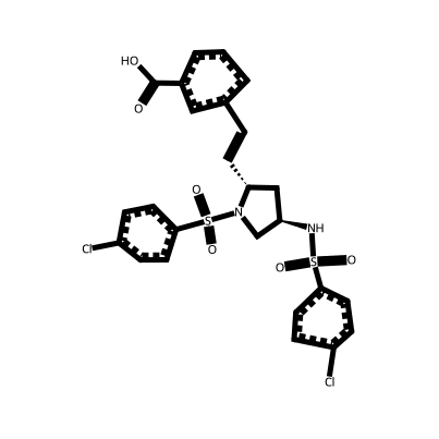 O=C(O)c1cccc(/C=C/[C@@H]2C[C@@H](NS(=O)(=O)c3ccc(Cl)cc3)CN2S(=O)(=O)c2ccc(Cl)cc2)c1